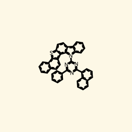 c1ccc(-c2nc(-c3cccc4ccccc34)nc(-n3c4ccccc4c4ccc5sc6c7ccccc7ccc6c5c43)n2)cc1